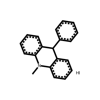 CN1c2ccccc2C(c2ccccc2)c2ccccc21.I